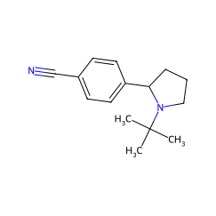 CC(C)(C)N1CCCC1c1ccc(C#N)cc1